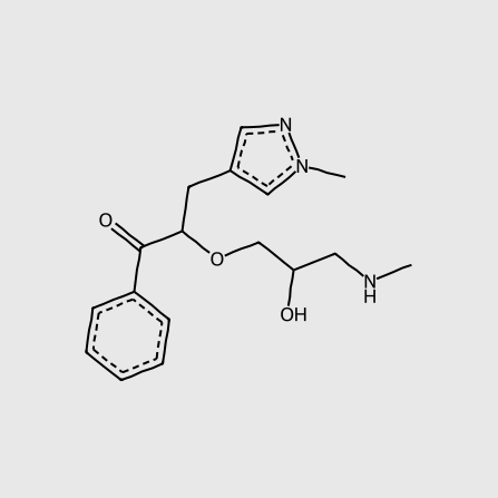 CNCC(O)COC(Cc1cnn(C)c1)C(=O)c1ccccc1